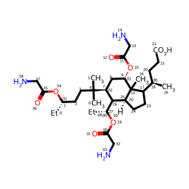 CC[C@@H](CCC(C)(C)[C@H]1C[C@H](OC(=O)CN)C2(C)C([C@H](C)CCC(=O)O)CC[C@H]2C1[C@@H](CC)OC(=O)CN)OC(=O)CN